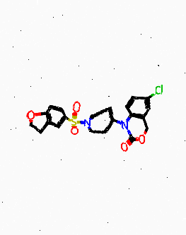 O=C1OCc2cc(Cl)ccc2N1C1CCN(S(=O)(=O)c2ccc3c(c2)CCO3)CC1